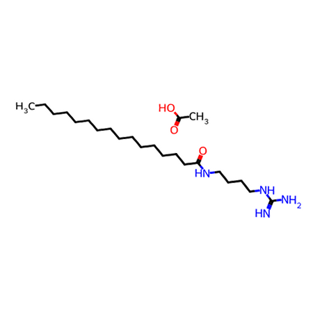 CC(=O)O.CCCCCCCCCCCCCCCC(=O)NCCCCNC(=N)N